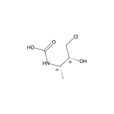 C[C@H](NC(=O)O)[C@@H](O)CCl